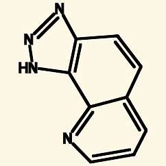 c1cnc2c(c1)ccc1nn[nH]c12